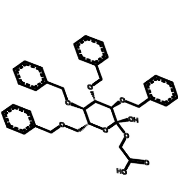 O=C(O)CO[C@]1(O)O[C@H](COCc2ccccc2)[C@@H](OCc2ccccc2)[C@H](OCc2ccccc2)[C@H]1OCc1ccccc1